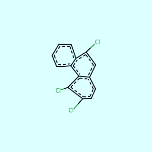 Clc1[c]cc2cc(Cl)c3c[c]ccc3c2c1Cl